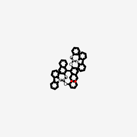 c1ccc(OP(Oc2ccc3ccccc3c2-c2c(OP(Oc3ccccc3)n3c4ccccc4c4ccccc43)ccc3ccccc23)n2c3ccccc3c3ccccc32)cc1